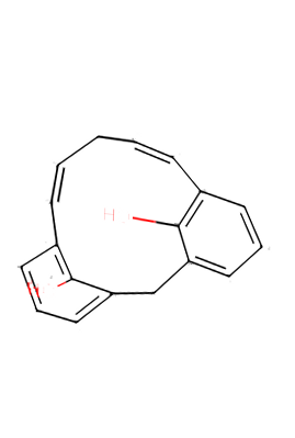 Oc1c2cccc1Cc1cccc(c1O)C=CCC=C2